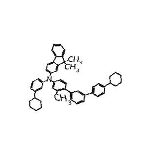 Cc1cc(N(c2cccc(C3CCCCC3)c2)c2ccc3c(c2)C(C)(C)c2ccccc2-3)ccc1-c1cccc(-c2ccc(C3CCCCC3)cc2)c1